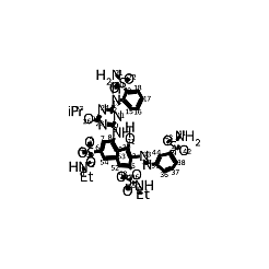 CCNOS(=O)(=O)c1cc(Nc2nc(Nc3ccccc3S(N)(=O)=O)nc(OC(C)C)n2)c2c(O)c(N=Nc3cccc(S(N)(=O)=O)c3)c(OS(=O)(=O)NCC)cc2c1